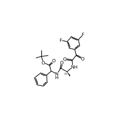 C[C@H](NC(=O)C(=O)c1cc(F)cc(F)c1)C(=O)NC(C(=O)OC(C)(C)C)c1ccccc1